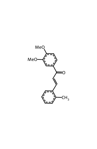 COc1ccc(C(=O)C=Cc2ccccc2C)cc1OC